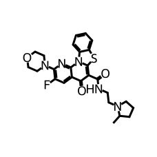 CC1CCCN1CCNC(=O)c1c(=O)c2cc(F)c(N3CCOCC3)nc2n2c1sc1ccccc12